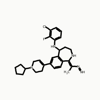 C/C(N=N)=C1/NCCC(Nc2cccc(Cl)c2F)c2cc(C3=CCN(C4CCCC4)CC3)ccc21